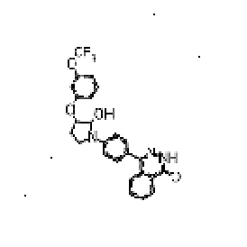 O=c1[nH]nc(-c2ccc(N3CCC(Oc4cccc(OC(F)(F)F)c4)C3O)cc2)c2ccccc12